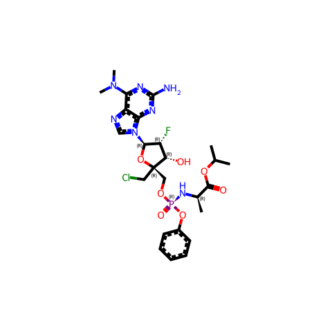 CC(C)OC(=O)[C@@H](C)N[P@@](=O)(OC[C@@]1(CCl)O[C@@H](n2cnc3c(N(C)C)nc(N)nc32)[C@H](F)[C@@H]1O)Oc1ccccc1